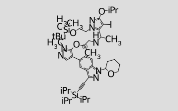 CC(C)Oc1nn(CCO[Si](C)(C)C(C)(C)C)c(C(C)NC[C@H](C)Oc2c(-c3ccc4c(c3)c(C#C[Si](C(C)C)(C(C)C)C(C)C)nn4C3CCCCO3)cnn2C)c1I